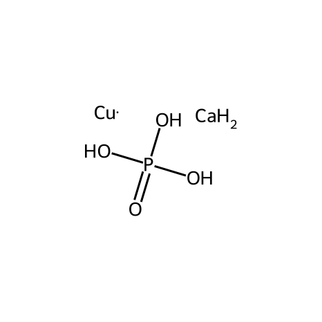 O=P(O)(O)O.[CaH2].[Cu]